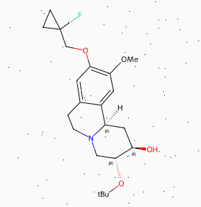 COc1cc2c(cc1OCC1(F)CC1)CCN1C[C@@H](OC(C)(C)C)[C@H](O)C[C@H]21